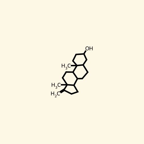 C=C1CCC2C3CCC4CC(O)CCC4(C)C3CCC12C